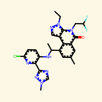 CCn1ncc2c3c(C(C)Nc4ccc(Cl)nc4-c4ncn(C)n4)cc(C)cc3c(=O)n(CC(F)F)c21